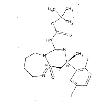 CC(C)(C)OC(=O)NC1=N[C@](C)(c2cc(I)ccc2F)C[S@@]2(=O)=NCCCCN12